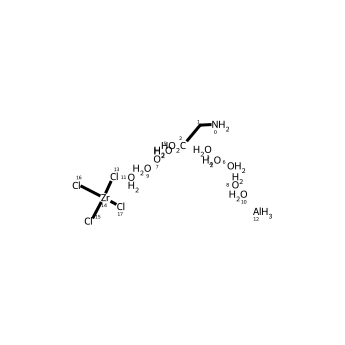 NCC(=O)O.O.O.O.O.O.O.O.O.O.[AlH3].[Cl][Zr]([Cl])([Cl])[Cl]